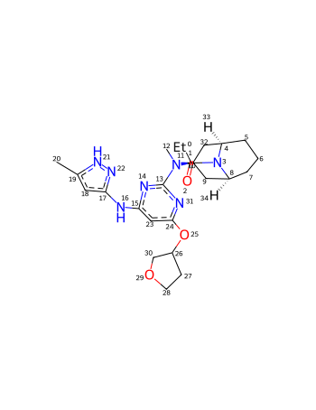 CCC(=O)N1[C@@H]2CCC[C@H]1C[C@@H](N(C)c1nc(Nc3cc(C)[nH]n3)cc(OC3CCOC3)n1)C2